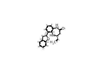 C=C[C@@H]1CC(=O)Nc2cccc(C3Cc4ccccc4O3)c2N1